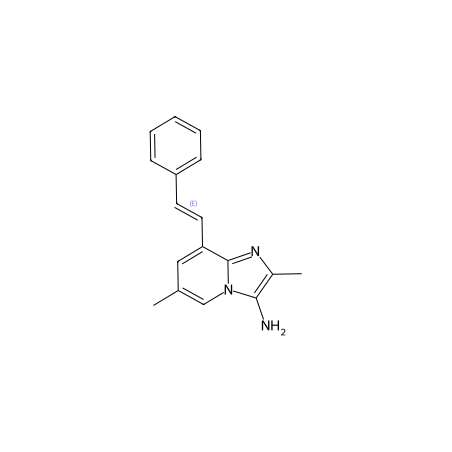 Cc1cc(/C=C/c2ccccc2)c2nc(C)c(N)n2c1